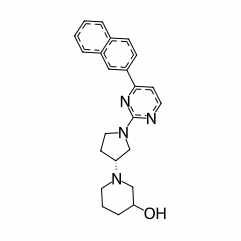 OC1CCCN([C@@H]2CCN(c3nccc(-c4ccc5ccccc5c4)n3)C2)C1